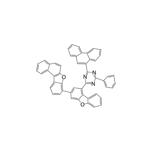 c1ccc(-c2nc(-c3cc4ccccc4c4ccccc34)nc(-c3cc(-c4cccc5c4oc4ccc6ccccc6c45)cc4oc5ccccc5c34)n2)cc1